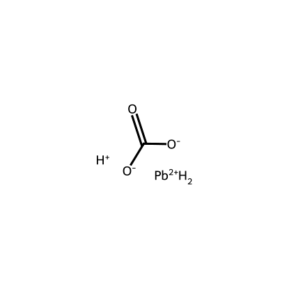 O=C([O-])[O-].[H+].[PbH2+2]